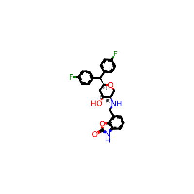 O=c1[nH]c2cccc(CN[C@@H]3CO[C@H](C(c4ccc(F)cc4)c4ccc(F)cc4)C[C@@H]3O)c2o1